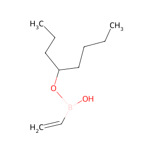 C=CB(O)OC(CCC)CCCC